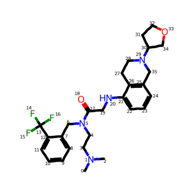 CN(C)CCN(Cc1ccccc1C(F)(F)F)C(=O)CNc1cccc2c1CCN(C1CCOC1)C2